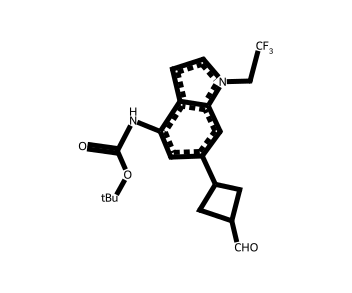 CC(C)(C)OC(=O)Nc1cc(C2CC(C=O)C2)cc2c1ccn2CC(F)(F)F